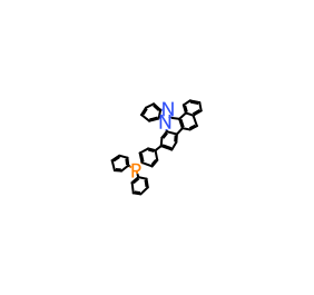 c1ccc(P(c2ccccc2)c2ccc(-c3ccc4c5ccc6ccccc6c5c5nc6ccccc6n5c4c3)cc2)cc1